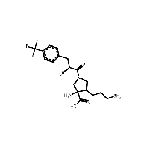 BCCCC1CN(C(=O)C(N)Cc2ccc(C(F)(F)F)cc2)CC1(N)C(=O)O